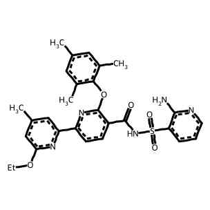 CCOc1cc(C)cc(-c2ccc(C(=O)NS(=O)(=O)c3cccnc3N)c(Oc3c(C)cc(C)cc3C)n2)n1